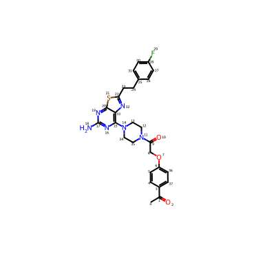 CC(=O)c1ccc(OCC(=O)N2CCN(c3nc(N)nc4sc(CCc5ccc(F)cc5)nc34)CC2)cc1